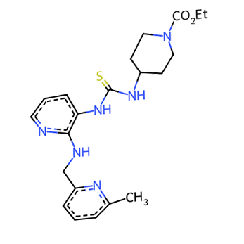 CCOC(=O)N1CCC(NC(=S)Nc2cccnc2NCc2cccc(C)n2)CC1